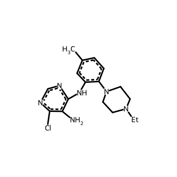 CCN1CCN(c2ccc(C)cc2Nc2ncnc(Cl)c2N)CC1